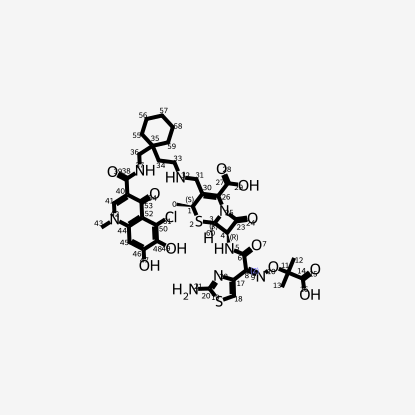 C[C@@H]1S[C@@H]2[C@H](NC(=O)/C(=N\OC(C)(C)C(=O)O)c3csc(N)n3)C(=O)N2C(C(=O)O)=C1CNCCC1(CNC(=O)c2cn(C)c3cc(O)c(O)c(Cl)c3c2=O)CCCCC1